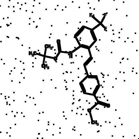 COC(=O)c1ccc(/C=C/c2cc(C(F)(F)F)ccc2NC(=O)OC(C)(C)C)cc1